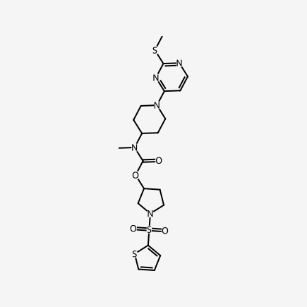 CSc1nccc(N2CCC(N(C)C(=O)OC3CCN(S(=O)(=O)c4cccs4)C3)CC2)n1